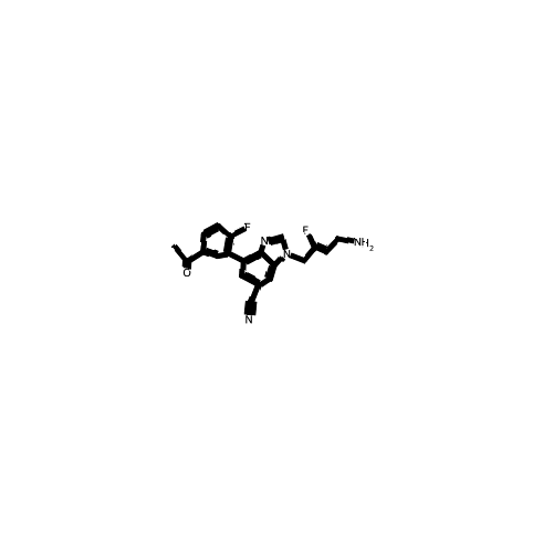 CC(=O)c1ccc(F)c(-c2cc(C#N)cc3c2ncn3CC(F)=CCN)c1